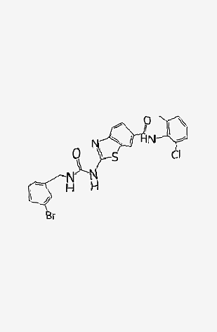 Cc1cccc(Cl)c1NC(=O)c1ccc2nc(NC(=O)NCc3cccc(Br)c3)sc2c1